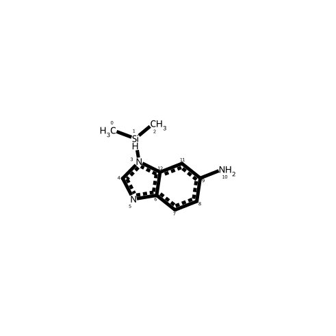 C[SiH](C)n1cnc2ccc(N)cc21